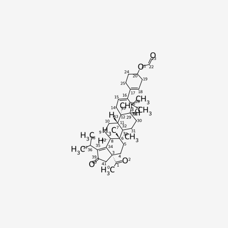 CC(=O)[C@@]12CC[C@]3(C)[C@H](CC[C@@H]4[C@@]5(C)CC=C(C6=CCC(OC=O)CC6)C(C)(C)[C@@H]5CC[C@]43C)C1=C(C(C)C)C(=O)C2